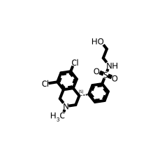 CN1Cc2c(Cl)cc(Cl)cc2[C@H](c2cccc(S(=O)(=O)NCCO)c2)C1